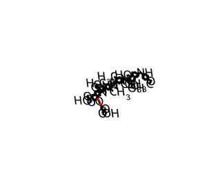 COc1ccc(Nc2ccc3c(O)c(N=Nc4cc(C)c(N=Nc5cc(C)c(N=Nc6cc7c(OCCCS(=O)(=O)O)cc(S(=O)(=O)O)cc7cc6S(=O)(=O)O)cc5C)cc4C)c(S(=O)(=O)O)cc3c2)cc1